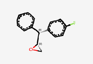 Fc1ccc([C@@H](c2ccccc2)[C@@H]2CO2)cc1